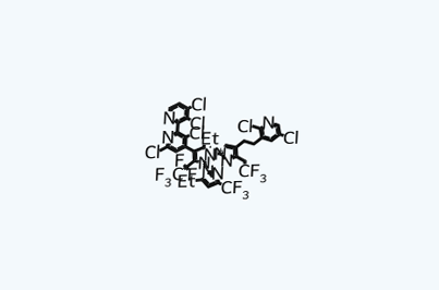 CCc1cc(C(F)(F)F)nn1N1C(C(F)(F)C(F)(F)F)=C(c2cc(Cl)nc(-c3nccc(Cl)c3Cl)c2Cl)C(CC)[N+]1n1cc(CCc2cc(Cl)cnc2Cl)c(CC(F)(F)F)n1